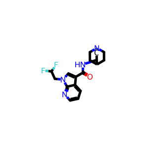 O=C(NC1CN2CCC1CC2)c1cn(CC(F)F)c2ncccc12